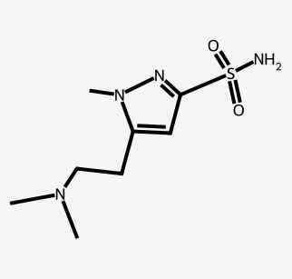 CN(C)CCc1cc(S(N)(=O)=O)nn1C